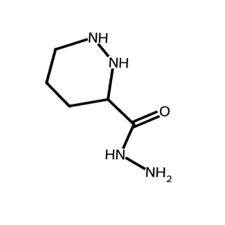 NNC(=O)C1CCCNN1